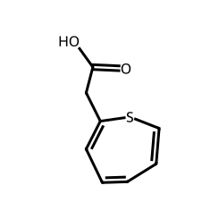 O=C(O)CC1=CC=CC=CS1